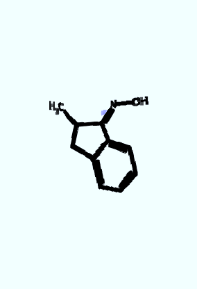 CC1Cc2ccccc2/C1=N\O